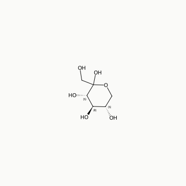 OCC1(O)OC[C@H](O)[C@@H](O)[C@@H]1O